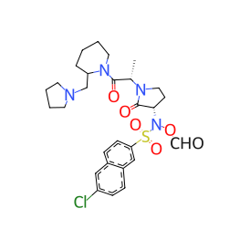 C[C@@H](C(=O)N1CCCCC1CN1CCCC1)N1CC[C@H](N(OC=O)S(=O)(=O)c2ccc3cc(Cl)ccc3c2)C1=O